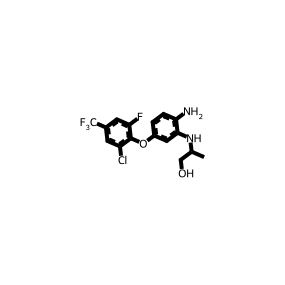 CC(CO)Nc1cc(Oc2c(F)cc(C(F)(F)F)cc2Cl)ccc1N